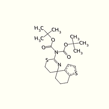 CC(C)(C)OC(=O)N(C(=O)OC(C)(C)C)C1=NC2(CCCc3sccc32)CCS1